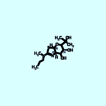 CCCN(C)C1=N[C@@H]2C(O)[C@H](O)C(C(C)(C)O)O[C@@H]2S1